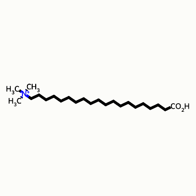 C[N+](C)(C)CCCCCCCCCCCCCCCCCCCC(=O)O